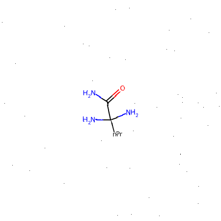 CCCC(N)(N)C(N)=O